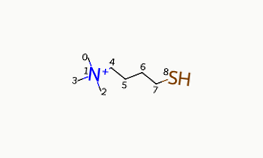 C[N+](C)(C)CCCCS